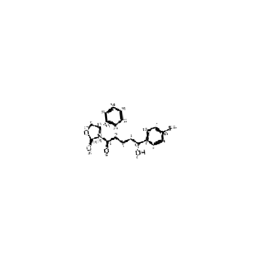 O=C(CCC[C@@H](O)c1ccc(F)cc1)N1C(=O)OC[C@@H]1c1ccccc1